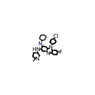 Cc1ccc(Nc2cc3nc4ccc(F)cc4n(-c4ccc(Cl)cc4)c-3c/c2=N\C2CCCCC2)cn1